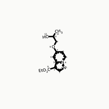 CCOC(=O)c1cnn2ccc(OCC(C)O)cc12